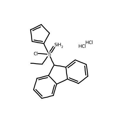 C[CH2][Ti](=[SiH2])([Cl])([C]1=CC=CC1)[CH]1c2ccccc2-c2ccccc21.Cl.Cl